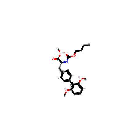 CCCCOC(=O)N[C@@H](Cc1ccc(-c2c(OC)cccc2OC)cc1)C(=O)OC